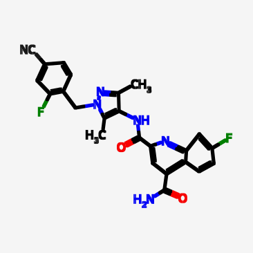 Cc1nn(Cc2ccc(C#N)cc2F)c(C)c1NC(=O)c1cc(C(N)=O)c2ccc(F)cc2n1